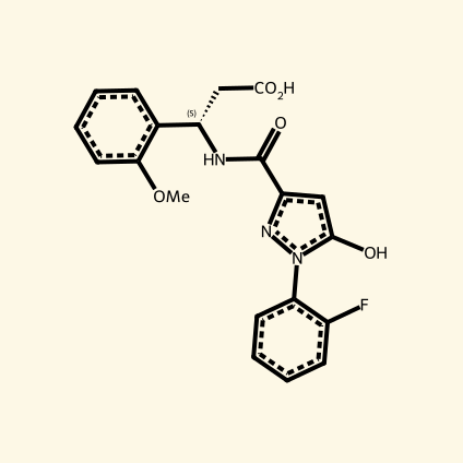 COc1ccccc1[C@H](CC(=O)O)NC(=O)c1cc(O)n(-c2ccccc2F)n1